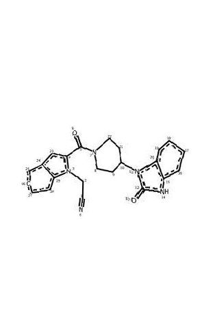 N#CCn1c(C(=O)N2CCC(n3c(=O)[nH]c4ccccc43)CC2)cc2ccccc21